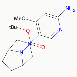 COc1cc(N)ncc1N1CC2CCC(C1)N2C(=O)OC(C)(C)C